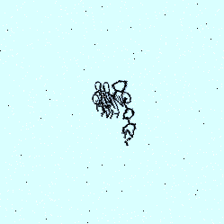 CCCN1CCC(c2ccc(C(=O)N[C@H](C(=O)N3C[C@H](NC)[C@H]4OCC(=O)[C@H]43)C3CCCCC3)cc2)CC1